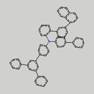 c1ccc(-c2ccc(N(c3ccc(-c4cc(-c5ccccc5)cc(-c5ccccc5)c4)cc3)c3ccccc3-c3cccc(-c4cccc5ccccc45)c3)cc2)cc1